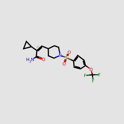 NC(=O)/C(=C\C1CCN(S(=O)(=O)c2ccc(OC(F)(F)F)cc2)CC1)C1CC1